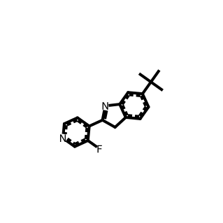 CC(C)(C)c1ccc2c(c1)N=C(c1ccncc1F)C2